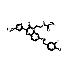 CC(=O)NCCn1c(=O)c(-c2cc(C)cs2)nc2ccc(NCc3ccc(Cl)c(Cl)c3)nc21